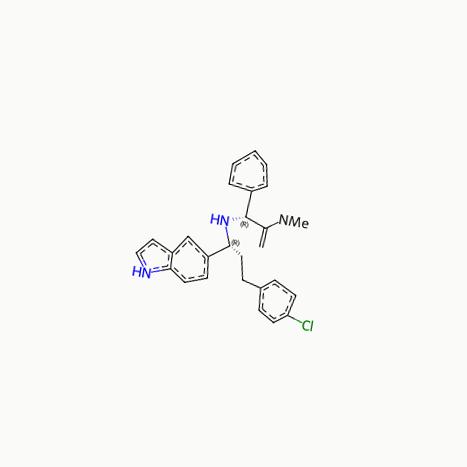 C=C(NC)[C@H](N[C@H](CCc1ccc(Cl)cc1)c1ccc2[nH]ccc2c1)c1ccccc1